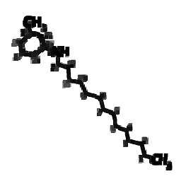 CCCCCCCCCCCCCCNc1cccc(C)c1